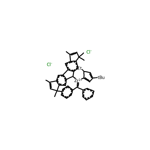 CCC1C=C(C(C)(C)C)C=[C]1[Zr+2](=[C](c1ccccc1)c1ccccc1)[CH]1c2cc3c(cc2-c2cc4c(cc21)C(C)(C)C=C4C)C(C)=CC3(C)C.[Cl-].[Cl-]